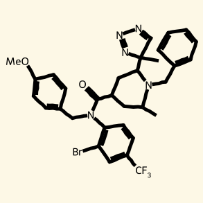 COc1ccc(CN(C(=O)C2CC(C)N(Cc3ccccc3)C(C3(C)C=NN=N3)C2)c2ccc(C(F)(F)F)cc2Br)cc1